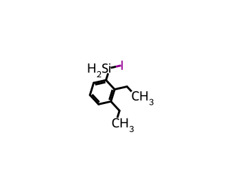 CCc1cccc([SiH2]I)c1CC